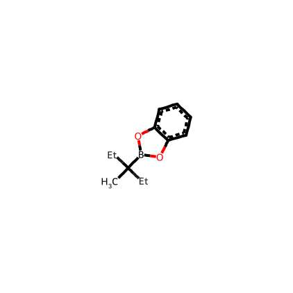 CCC(C)(CC)B1Oc2ccccc2O1